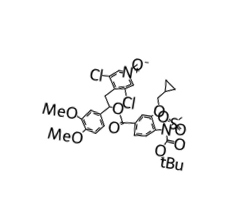 COc1ccc(C(Cc2c(Cl)c[n+]([O-])cc2Cl)OC(=O)c2ccc(N(C(=O)OC(C)(C)C)S(C)(=O)=O)c(OCC3CC3)c2)cc1OC